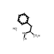 Cl.N#CN[C@@H](Cc1ccccc1)C(=O)O